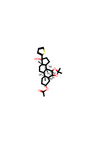 CC(=O)O[C@H]1CC[C@@]2(C)[C@H](C1)[C@H]1OC(C)(C)O[C@@H]1[C@@H]1[C@@H]2CC[C@@]2(C)[C@H]1CC[C@@]2(O)c1cccs1